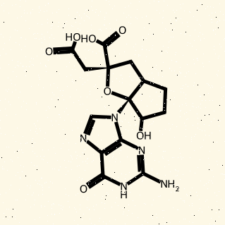 Nc1nc2c(ncn2[C@@]23O[C@](CC(=O)O)(C(=O)O)CC2CCC3O)c(=O)[nH]1